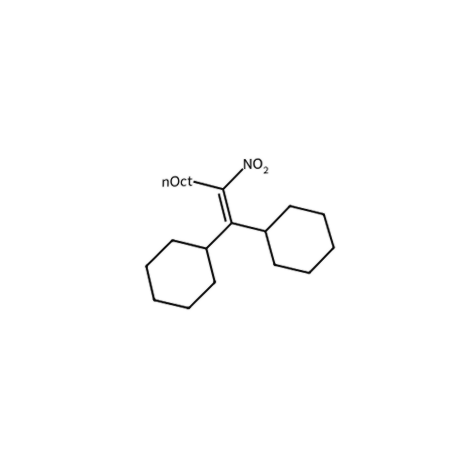 CCCCCCCCC(=C(C1CCCCC1)C1CCCCC1)[N+](=O)[O-]